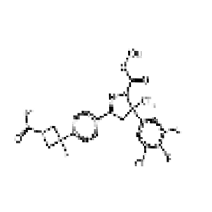 CC(C)C(=O)N1CC(F)(c2ccc(C3=NN(C(=O)OC(C)(C)C)C(c4cc(Cl)c(F)c(Cl)c4)(C(F)(F)F)C3)cc2)C1